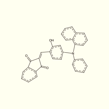 O=C1C(=Cc2ccc(N(c3ccccc3)c3cccc4ccccc34)cc2O)C(=O)c2ccccc21